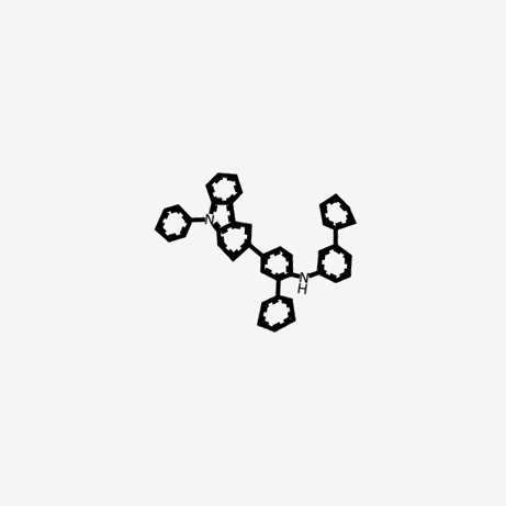 c1ccc(-c2cccc(Nc3ccc(-c4ccc5c(c4)c4ccccc4n5-c4ccccc4)cc3-c3ccccc3)c2)cc1